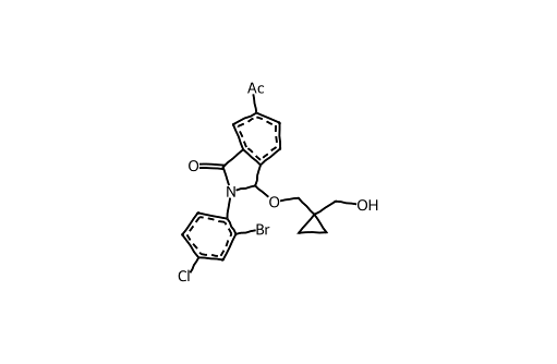 CC(=O)c1ccc2c(c1)C(=O)N(c1ccc(Cl)cc1Br)C2OCC1(CO)CC1